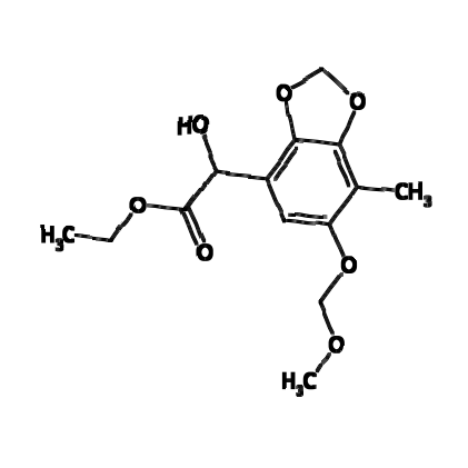 CCOC(=O)C(O)c1cc(OCOC)c(C)c2c1OCO2